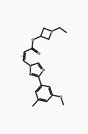 CCN1CC(OC(=O)/C=C\n2cnc(-c3cc(C)cc(OC)c3)n2)C1